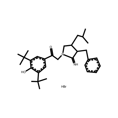 Br.CC(C)CC1CN(CC(=O)c2cc(C(C)(C)C)c(O)c(C(C)(C)C)c2)C(=N)C1Cc1ccccc1